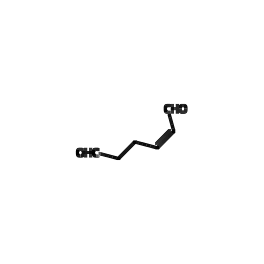 O=C/C=C\CCC=O